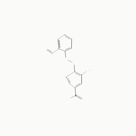 O=Cc1ccccc1OOc1ccc(C(=O)O)cc1O